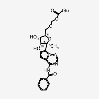 CC(C)(C)C(=O)OCOC[C@H]1O[C@@](C)(c2ccc3c(NC(=O)c4ccccc4)ncnn23)[C@H](O)[C@@H]1O